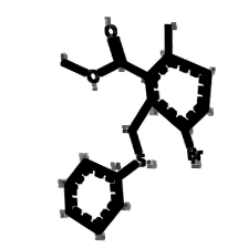 COC(=O)c1c(C)ccc(Br)c1CSc1ccccc1